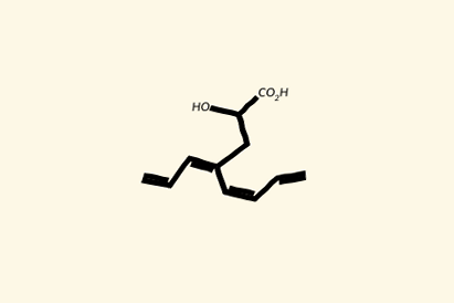 C=C/C=C\C(=C/C=C)CC(O)C(=O)O